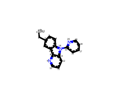 CC(C)(C)Cc1ccc2c(c1)c1ncccc1n2-c1ccccn1